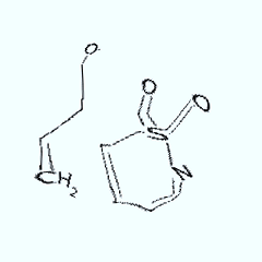 C=CC[O].O=S1(=O)C=CC=N1